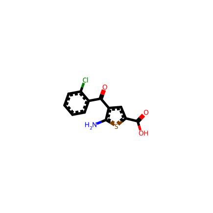 Nc1sc(C(=O)O)cc1C(=O)c1ccccc1Cl